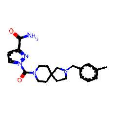 Cc1cccc(CN2CCC3(CCN(C(=O)n4ccc(C(N)=O)n4)CC3)C2)c1